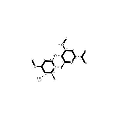 CO[C@H]1C[C@H](O[C@H]2[C@H](C)O[C@@H](C(C)C)C[C@@H]2OC)O[C@@H](C)[C@@H]1O